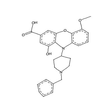 COc1cccc2c1Oc1cc(C(=O)O)cc(O)c1N2C1CCN(Cc2ccccc2)CC1